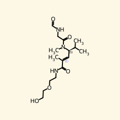 C/C(=C\[C@H](C(C)C)N(C)C(=O)CNC=O)C(=O)NCCOCCO